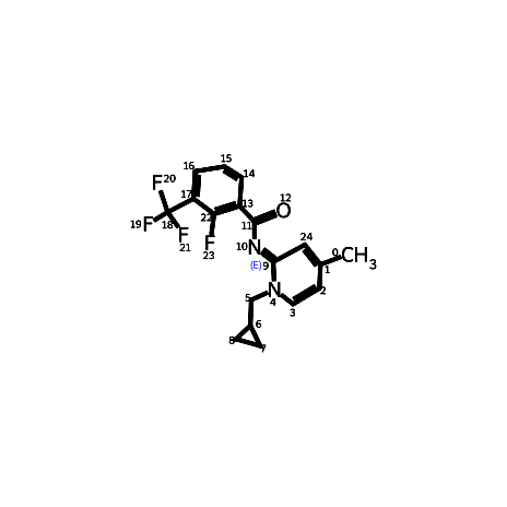 Cc1ccn(CC2CC2)/c(=N/C(=O)c2cccc(C(F)(F)F)c2F)c1